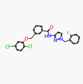 O=C(Nc1ccn(Cc2ccccc2F)n1)c1cccc(COc2cc(Cl)ccc2Cl)c1